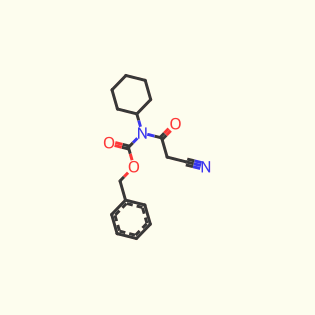 N#CCC(=O)N(C(=O)OCc1ccccc1)C1CCCCC1